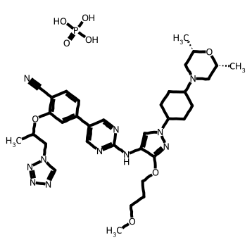 COCCCOc1nn(C2CCC(N3C[C@@H](C)O[C@@H](C)C3)CC2)cc1Nc1ncc(-c2ccc(C#N)c(OC(C)Cn3cnnn3)c2)cn1.O=P(O)(O)O